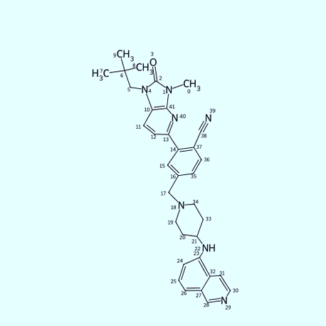 Cn1c(=O)n(CC(C)(C)C)c2ccc(-c3cc(CN4CCC(Nc5cccc6cnccc56)CC4)ccc3C#N)nc21